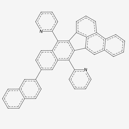 c1ccc(-c2c3c(c(-c4ccccn4)c4cc(-c5ccc6ccccc6c5)ccc24)-c2cc4ccccc4c4cccc-3c24)nc1